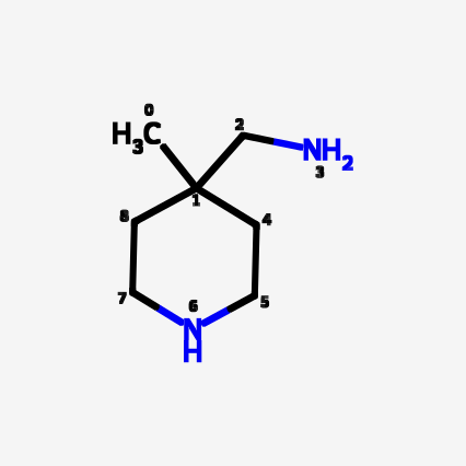 CC1(CN)CCNCC1